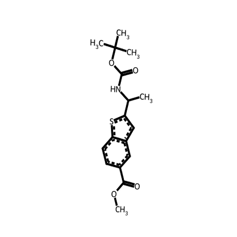 COC(=O)c1ccc2sc(C(C)NC(=O)OC(C)(C)C)cc2c1